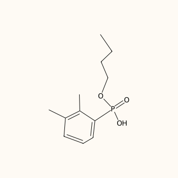 CCCCOP(=O)(O)c1cccc(C)c1C